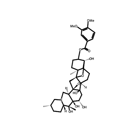 COc1ccc(C(=O)OC2CC[C@@]3(C)C4CC[C@H]5[C@]6(O)C[C@H](O)[C@@]7(O)[C@@H](CN8C[C@@H](C)CC[C@H]8[C@@]7(C)O)[C@]6(O)C[C@@]53O[C@@]24O)cc1OC